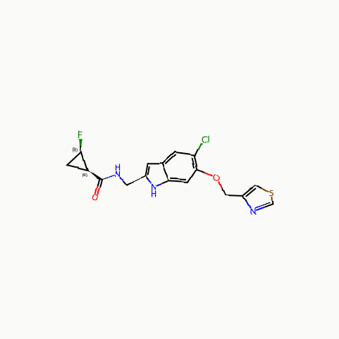 O=C(NCc1cc2cc(Cl)c(OCc3cscn3)cc2[nH]1)[C@H]1C[C@H]1F